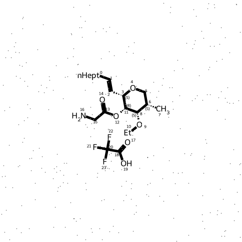 CCCCCCCC=C[C@@H]1OC[C@H](C)[C@H](OCC)[C@@H]1OC(=O)CN.O=C(O)C(F)(F)F